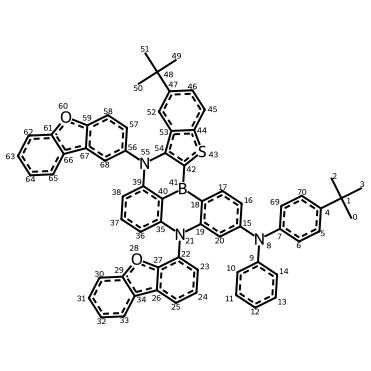 CC(C)(C)c1ccc(N(c2ccccc2)c2ccc3c(c2)N(c2cccc4c2oc2ccccc24)c2cccc4c2B3c2sc3ccc(C(C)(C)C)cc3c2N4c2ccc3oc4ccccc4c3c2)cc1